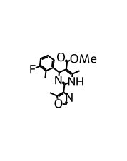 COC(=O)C1=C(C)NC(c2ncoc2C)=NC1c1cccc(F)c1C